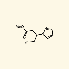 COC(=O)CC(CC(C)C)n1cccn1